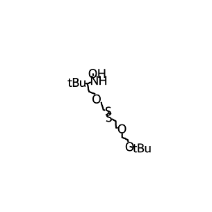 CC(C)(C)OCCOCCSSCCOCCC(NO)C(C)(C)C